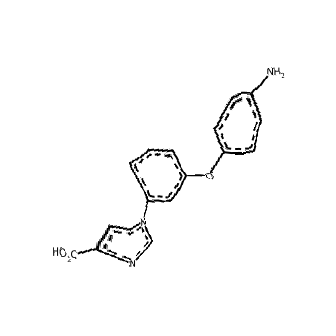 Nc1ccc(Oc2cccc(-n3cnc(C(=O)O)c3)c2)cc1